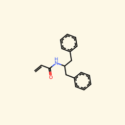 C=CC(=O)NC(Cc1ccccc1)Cc1ccccc1